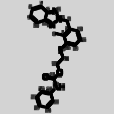 Cc1c(Cn2nc3ccccc3n2)cccc1SCCOC(=O)Nc1ccccc1